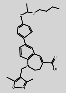 CCCCOC(C)Oc1ccc(-c2ccc3c(c2)C=C(C(=O)O)CCN3Cc2c(C)noc2C)cc1